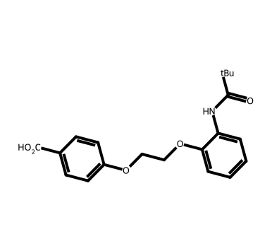 CC(C)(C)C(=O)Nc1ccccc1OCCOc1ccc(C(=O)O)cc1